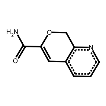 NC(=O)C1=Cc2cccnc2CO1